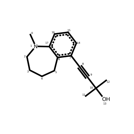 CN1CCCCc2c(C#CC(C)(C)O)cccc21